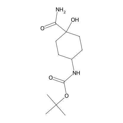 CC(C)(C)OC(=O)NC1CCC(O)(C(N)=O)CC1